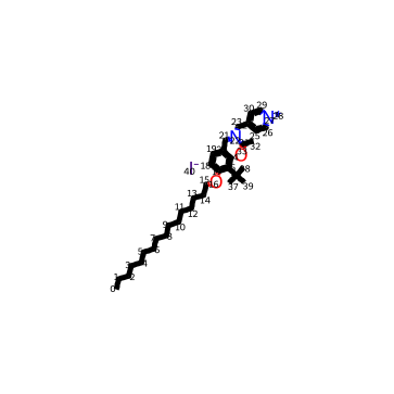 CCCCCCCCCCCCCCCCOc1ccc(CN(Cc2cc[n+](C)cc2)C(C)=O)cc1C(C)(C)C.[I-]